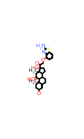 CC12CCC(=O)C=C1CCC1C2[C@@H](O)CC2(C)C1CC[C@]2(O)C(=O)COc1cccc2sc(N)nc12